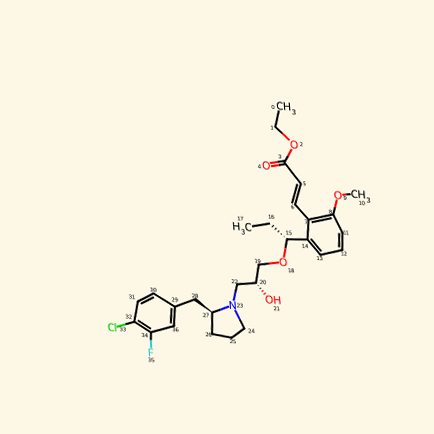 CCOC(=O)/C=C/c1c(OC)cccc1[C@@H](CC)OC[C@H](O)CN1CCC[C@H]1Cc1ccc(Cl)c(F)c1